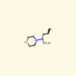 C=CCN(C=O)N1CCOCC1